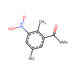 CNC(=O)c1cc(N=O)cc([NH+]([O-])O)c1C